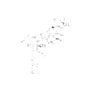 C=CC(=O)OCCCCC1(C(=C)CC)c2ccccc2-c2ccc(-c3ccc4ccc5cc(C(C)(C)C)cc6ccc3c4c56)cc21